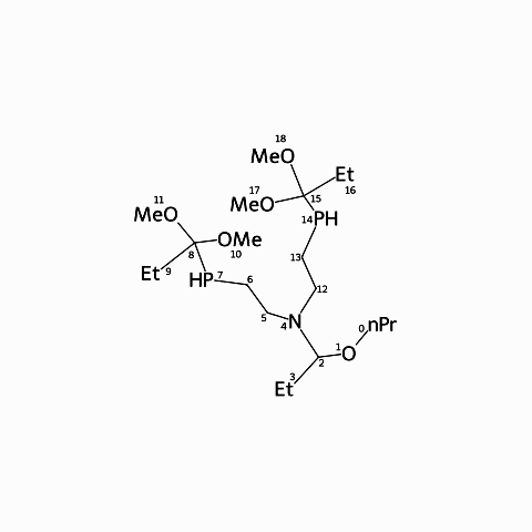 CCCOC(CC)N(CCPC(CC)(OC)OC)CCPC(CC)(OC)OC